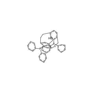 OCc1cc2c(P(c3ccccc3)c3ccccc3)cc1CCc1ccc(cc1P(c1ccccc1)c1ccccc1)CC2